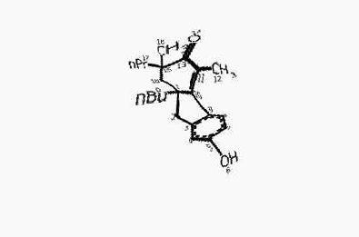 CCCCC12Cc3cc(O)ccc3C1=C(C)C(=O)C(C)(CCC)C2